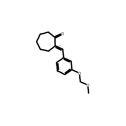 COCOc1cccc(/C=C2\CCCCCC2=O)c1